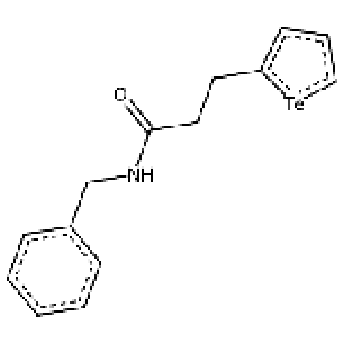 O=C(CCc1ccc[te]1)NCc1ccccc1